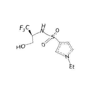 CCn1ccc(S(=O)(=O)N[C@@H](CO)C(F)(F)F)c1